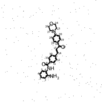 Nc1ccccc1NC(=O)c1ccc(/C=C/C(=O)c2ccc(N3CCOCC3)cc2)cc1